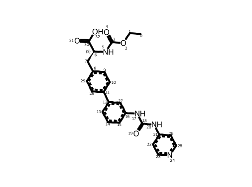 CCOC(=O)N[C@@H](Cc1ccc(-c2cccc(NC(=O)Nc3ccncc3)c2)cc1)C(=O)O